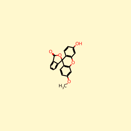 COc1ccc2c(c1)Oc1cc(O)ccc1C21OC(=O)c2ccccc21